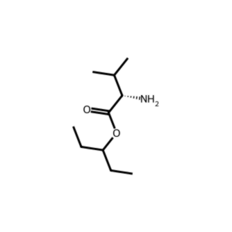 CCC(CC)OC(=O)[C@@H](N)C(C)C